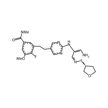 CNC(=O)c1cc(CCc2cnc(NC(/C=N\S[C@H]3CCOC3)=C/N)nc2)c(F)c(OC)c1